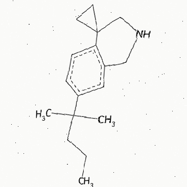 CCCC(C)(C)c1ccc2c(c1)CNCC21CC1